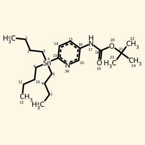 CCC[CH2][Sn]([CH2]CCC)([CH2]CCC)[c]1ccc(NC(=O)OC(C)(C)C)cn1